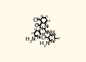 Cc1nc(N)c(Cl)c(N[C@@H](C)c2nc3cccc(Cl)c3c(=O)n2-c2ccc(N)nc2)n1